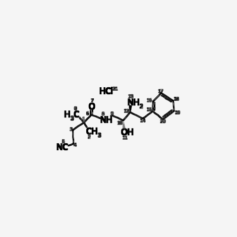 CC(C)(CCC#N)C(=O)NC[C@@H](O)[C@@H](N)Cc1ccccc1.Cl